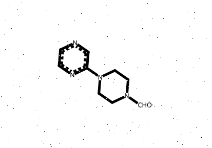 O=[C]N1CCN(c2cnccn2)CC1